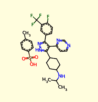 CC(C)NC1CCC(c2[nH]nc(-c3ccc(F)c(C(F)(F)F)c3)c2-c2ccncn2)CC1.Cc1ccc(S(=O)(=O)O)cc1